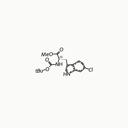 COC(=O)[C@H](Cc1c[nH]c2cc(Cl)ccc12)NC(=O)OC(C)(C)C